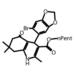 CCCCCOC(=O)C1=C(C)NC2=C(C(=O)CC(C)(C)C2)C1c1cc2c(cc1Br)OCO2